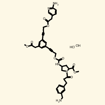 COC(=O)Cc1cc(C#CCOC(=O)Cc2ccc(N)nc2)cc(C#CCOC(=O)NC2CC(C(=O)OC)N(C(=O)CCc3cccc(CN)c3)C2)c1.Cl.Cl